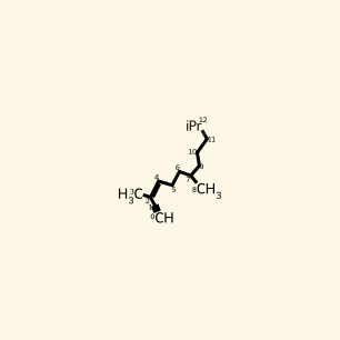 C#CC(C)=CCCC(C)CCCC(C)C